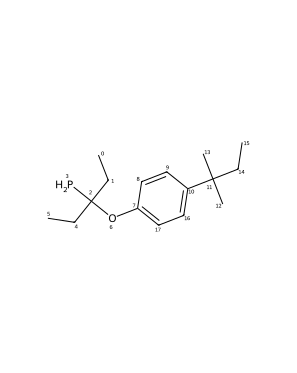 CCC(P)(CC)Oc1ccc(C(C)(C)CC)cc1